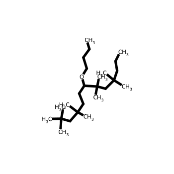 CCCCOC(CCC(C)(C)CC(C)(C)C)C(C)(C)CC(C)(C)CCC